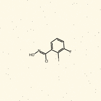 ON=C(Cl)c1cccc(F)c1I